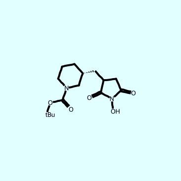 CC(C)(C)OC(=O)N1CCC[C@H](CC2CC(=O)N(O)C2=O)C1